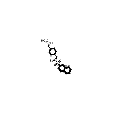 CCN(C[C@H]1CC[C@H](CNC(=O)O)CC1)S(=O)(=O)c1ccc2ccccc2c1